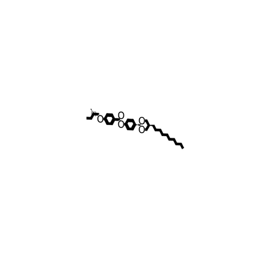 CCCCCCCCCC[C@H]1CO[C@H](c2ccc(OC(=O)c3ccc(OC[C@@H](C)CC)cc3)cc2)OC1